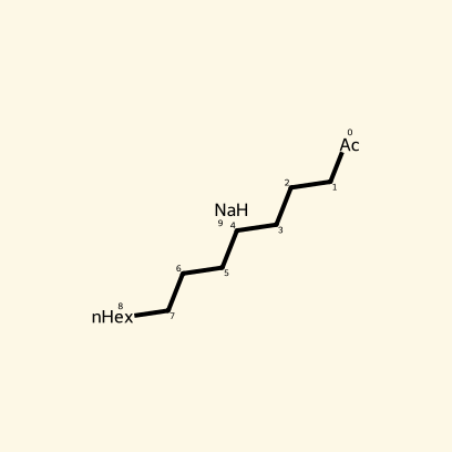 [CH2]C(=O)CCCCCCCCCCCCC.[NaH]